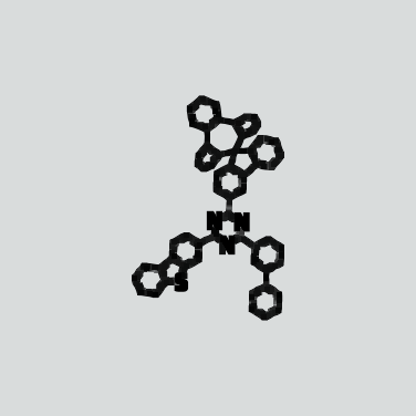 c1ccc(-c2cccc(-c3nc(-c4ccc5c(c4)-c4ccccc4C54c5ccccc5-c5ccccc5-c5ccccc54)nc(-c4ccc5c(c4)sc4ccccc45)n3)c2)cc1